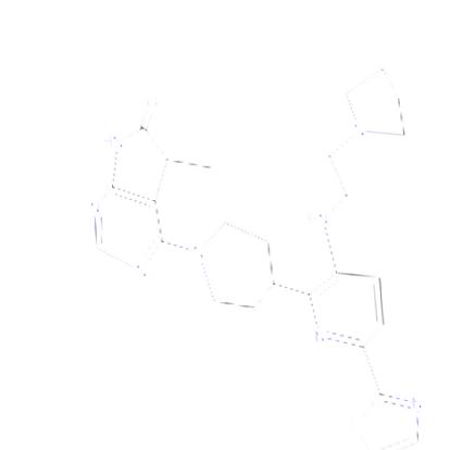 CC1C(=O)Nc2ncnc(N3CCC(c4nc(-c5nccs5)ccc4NCCN4CCCC4)CC3)c21